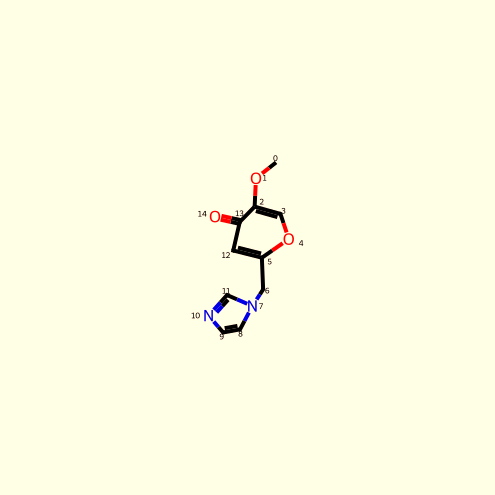 COc1coc(Cn2ccnc2)cc1=O